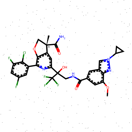 COc1cc(C(=O)NCC(O)(c2cc3c(c(-c4cc(F)cc(F)c4Cl)n2)OC[C@]3(C)C(N)=O)C(F)(F)F)cc2cn(C3CC3)nc12